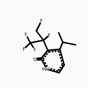 CC(C)c1cc[nH]c(=O)c1C(F)(CF)C(F)(F)F